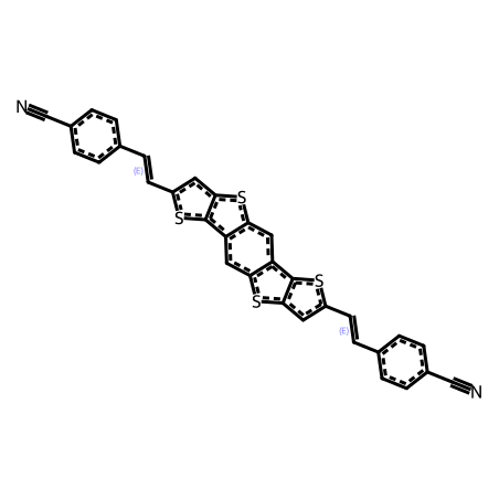 N#Cc1ccc(/C=C/c2cc3sc4cc5c(cc4c3s2)sc2cc(/C=C/c3ccc(C#N)cc3)sc25)cc1